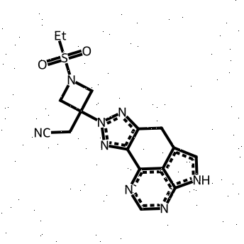 CCS(=O)(=O)N1CC(CC#N)(n2nc3c(n2)-c2ncnc4[nH]cc(c24)C3)C1